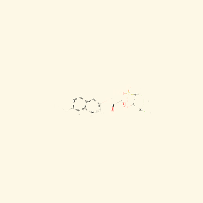 CCc1ccc2cc(OC(=O)COC(C(F)(F)F)C(F)(F)S(=O)(=O)O)ccc2c1